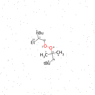 CCCCC([CH]OOC(C)(C)CC(C)(C)C)CC